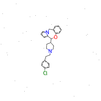 Clc1ccc(CCN2CCC(C3Oc4ccccc4Cn4cccc43)CC2)cc1